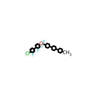 CC1CCC(C2CCC(C3CCC(C(F)(F)Oc4ccc(-c5ccc(Cl)c(F)c5)c(F)c4)CC3)CC2)CC1